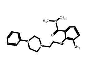 CN(C)C(=O)c1cccc(N)c1NCCN1CCN(c2ccccc2)CC1